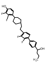 CCCC(O)c1ccc(-c2ccc(CCC3CCC(c4ccc(O)c(F)c4F)CC3)c(F)c2F)cc1